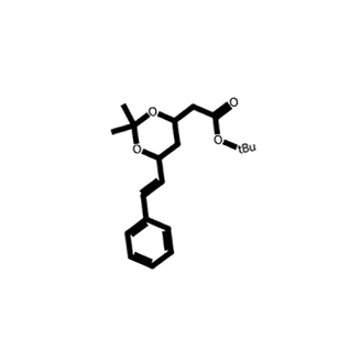 CC(C)(C)OC(=O)CC1CC(C=Cc2ccccc2)OC(C)(C)O1